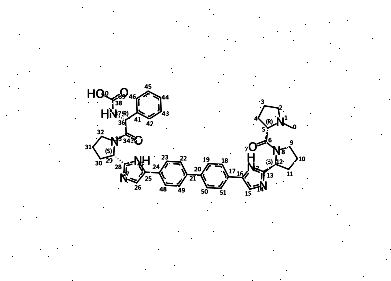 CN1CCC[C@@H]1C(=O)N1CCC[C@H]1c1ncc(-c2ccc(-c3ccc(-c4cnc([C@@H]5CCCN5C(=O)[C@H](NC(=O)O)c5ccccc5)[nH]4)cc3)cc2)[nH]1